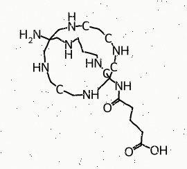 NC12CNCCCNCC(NC(=O)CCCC(=O)O)(CNCCCNC1)CNCCCNC2